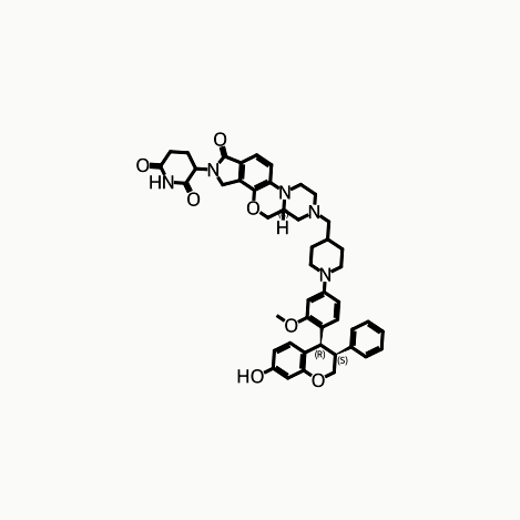 COc1cc(N2CCC(CN3CCN4c5ccc6c(c5OC[C@H]4C3)CN(C3CCC(=O)NC3=O)C6=O)CC2)ccc1[C@@H]1c2ccc(O)cc2OC[C@@H]1c1ccccc1